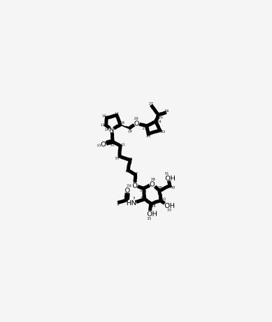 CC(=O)NC1C(OCCCCCC(=O)N2CCC[C@H]2COC2CCC2C(C)C)OC(CO)C(O)C1O